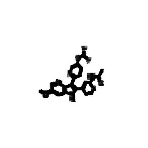 COc1cnc2c(-c3ccc(OC(F)F)cn3)c(-c3ccnc(NC(C)=O)c3)[nH]c2c1